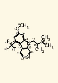 COc1cc(C(F)(F)F)c2c3ccncc3n(CC(C)N(C)C)c2c1